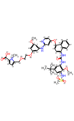 COc1cc(Nc2cc(Oc3ccc(NC(=O)Nc4cc(C(C)(C)C)cc(NS(C)(=O)=O)c4OC)c4ccccc34)ccn2)cc(OCCOCc2ccc(C(=O)O)n2C)c1